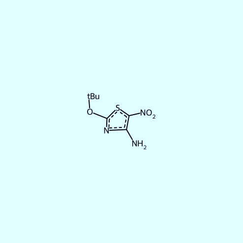 CC(C)(C)Oc1nc(N)c([N+](=O)[O-])s1